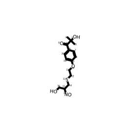 CC(C)(O)C(=O)c1ccc(OCCSCC(CO)N=O)cc1